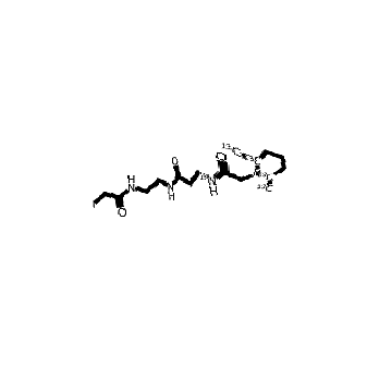 [13CH3][13CH]1CCC[13CH]([13CH3])N1CC(=O)[15NH]CCC(=O)NCCNC(=O)CI